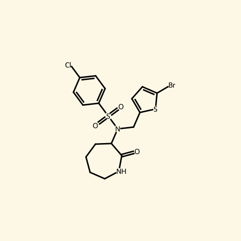 O=C1NCCCCC1N(Cc1ccc(Br)s1)S(=O)(=O)c1ccc(Cl)cc1